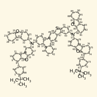 CC(C)(C)c1ccc(-c2cccc3c2oc2ccc(N(c4ccc5oc6ccccc6c5c4)c4ccc5c(c4)c4ccccc4c4cc6c(cc54)sc4ccc(N(c5ccc7oc8c(-c9ccc(C(C)(C)C)cc9)cccc8c7c5)c5cccc7c5oc5ccccc57)cc46)cc23)cc1